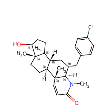 CN1C(=O)C=C[C@]2(C)[C@H]3CC[C@]4(C)[C@@H](O)CC[C@H]4[C@@H]3C[C@H](Cc3ccc(Cl)cc3)[C@@H]12